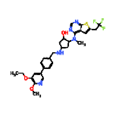 CCOc1cc(-c2ccc(CNC3CC(O)C(N(C)c4ncnc5sc(CC(F)(F)F)cc45)C3)cc2)cnc1OC